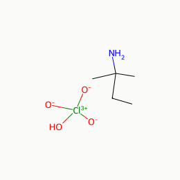 CCC(C)(C)N.[O-][Cl+3]([O-])([O-])O